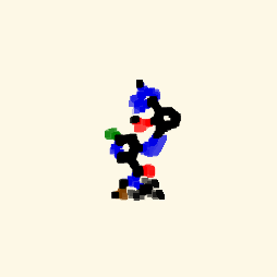 [2H]C([2H])([2H])N(CSC)C(=O)c1cnc(Cl)cc1Nc1cccc(-c2nnn(C)n2)c1OC